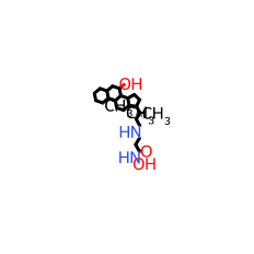 C[C@H](CCNCCC(=O)NO)C1CCC2C3C(O)CC4CCCCC4(C)C3CCC21C